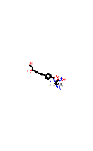 CC(C)(N)C(NC(=O)c1ccc(C#CC#CC(O)CCO)cc1)C(=O)NO